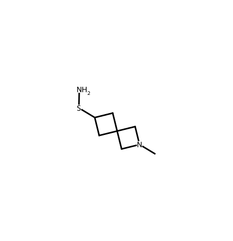 CN1CC2(CC(SN)C2)C1